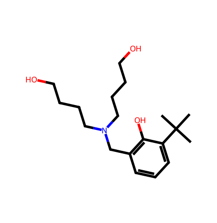 CC(C)(C)c1cccc(CN(CCCCO)CCCCO)c1O